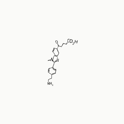 Cn1c(-c2ccc(CCN)cc2)nc2cc(C(=O)CCCC(=O)O)ccc21